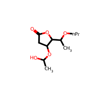 CCCOC(C)C1OC(=O)CC1OC(C)O